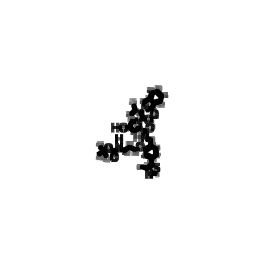 Cc1ncsc1-c1ccc(CNC(=O)[C@@H]2C[C@@H](O)CN2C(=O)[C@H](C(C)C)N2Cc3ccccc3C2=O)c(OCCCNC(=O)OC(C)(C)C)c1